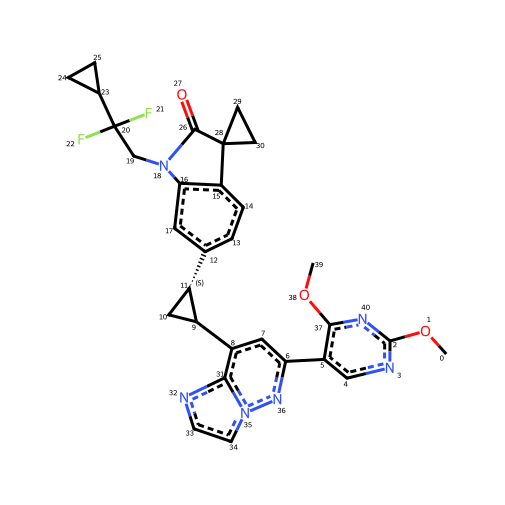 COc1ncc(-c2cc(C3C[C@@H]3c3ccc4c(c3)N(CC(F)(F)C3CC3)C(=O)C43CC3)c3nccn3n2)c(OC)n1